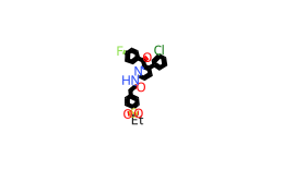 CCS(=O)(=O)c1ccc(CC(=O)Nc2ccc(-c3cccc(Cl)c3)c(C(=O)c3ccc(F)cc3)n2)cc1